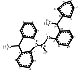 CC(c1ccccc1)c1ccccc1OP(F)Oc1ccccc1C(C)c1ccccc1